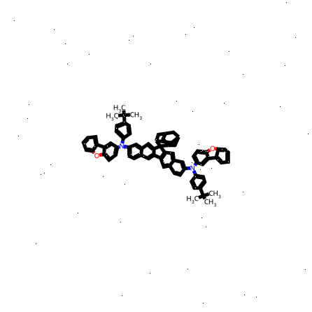 CC(C)(C)c1ccc(N(c2ccc3cc4c(cc3c2)C2(c3cc5cc(N(c6ccc(C(C)(C)C)cc6)c6ccc7oc8ccccc8c7c6)ccc5cc3-4)C3CC4CC(C3)CC2C4)c2ccc3oc4ccccc4c3c2)cc1